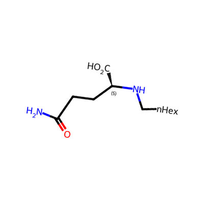 CCCCCCCN[C@@H](CCC(N)=O)C(=O)O